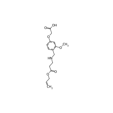 C=CCOC(=O)CCNCc1ccc(OCC(=O)O)cc1OC